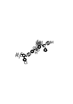 CC1(C)CCC(CN2CCN(c3ccc(C(=O)NS(=O)(=O)c4ccc(NC(CCN5CCNCC5)CSc5ccccc5)c(S(=O)(=O)C(F)(F)F)c4)cc3)CC2)=C(c2ccc(Cl)cc2)C1